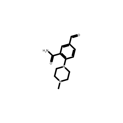 CN1CCN(c2ccc(C=O)cc2C(N)=O)CC1